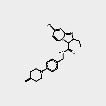 C=C1CCN(c2ccc(CNC(=O)C3C(CC)N=C4C=C(Cl)C=CN43)cc2)CC1